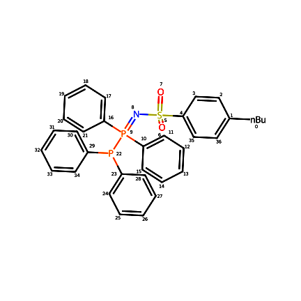 CCCCc1ccc(S(=O)(=O)N=P(c2ccccc2)(c2ccccc2)P(c2ccccc2)c2ccccc2)cc1